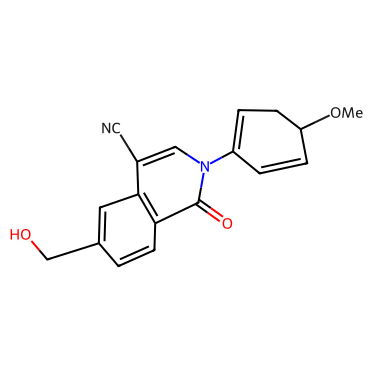 COC1C=CC(n2cc(C#N)c3cc(CO)ccc3c2=O)=CC1